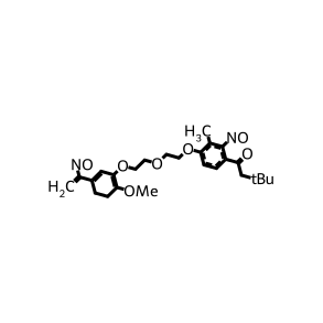 C=C(N=O)C1=CC(OCCOCCOc2ccc(C(=O)CC(C)(C)C)c(N=O)c2C)=C(OC)CC1